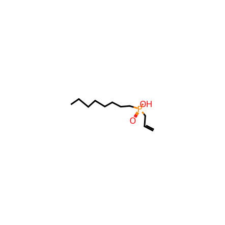 C=CCP(=O)(O)CCCCCCCC